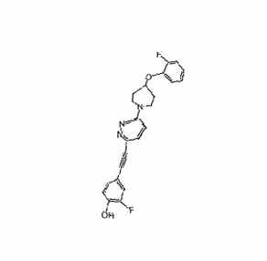 Oc1ccc(C#Cc2ccc(N3CCC(Oc4ccccc4F)CC3)nn2)cc1F